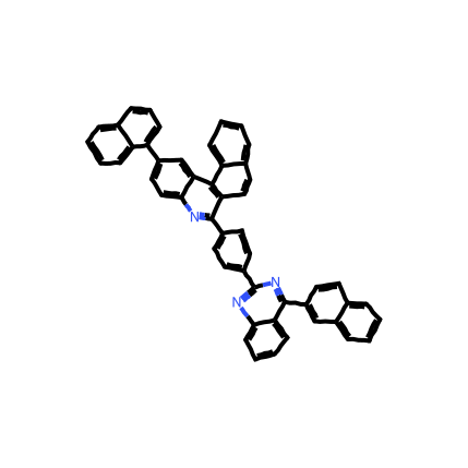 c1ccc2cc(-c3nc(-c4ccc(-c5nc6ccc(-c7cccc8ccccc78)cc6c6c5ccc5ccccc56)cc4)nc4ccccc34)ccc2c1